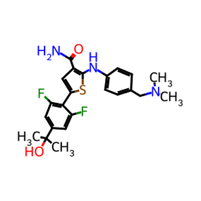 CN(C)Cc1ccc(Nc2sc(-c3c(F)cc(C(C)(C)O)cc3F)cc2C(N)=O)cc1